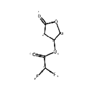 O=C1CC(OC(=O)C(F)F)CO1